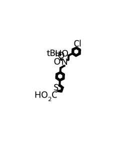 CC(C)(C)OC(=O)N(CCc1ccc(-c2ccc(C(=O)O)s2)cc1)C[C@@H](O)c1cccc(Cl)c1